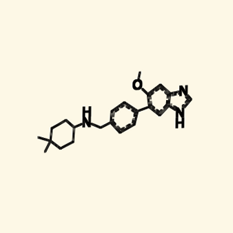 COc1cc2nc[nH]c2cc1-c1ccc(CNC2CCC(C)(C)CC2)cc1